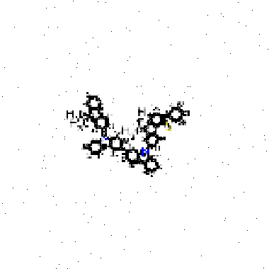 CC1(C)c2ccccc2-c2ccc(-n3c4ccccc4c4cc(-c5ccc6c7ccccc7n(-c7ccc8c(c7)C(C)(C)c7ccc9c(sc%10ccccc%109)c7-8)c6c5)ccc43)cc21